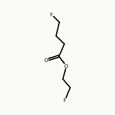 O=C(CCCF)OCCF